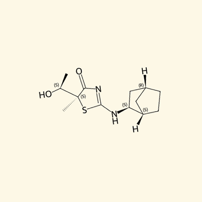 C[C@H](O)[C@]1(C)SC(N[C@H]2C[C@@H]3CC[C@H]2C3)=NC1=O